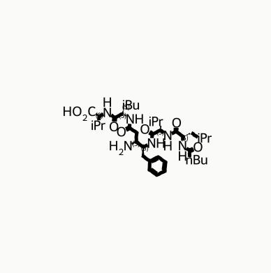 CCCCC(=O)N[C@@H](CC(C)C)C(=O)N[C@H](C(=O)N[C@@H](Cc1ccccc1)[C@@H](N)CC(=O)N[C@H](C(=O)N[C@H](C(=O)O)C(C)C)[C@@H](C)CC)C(C)C